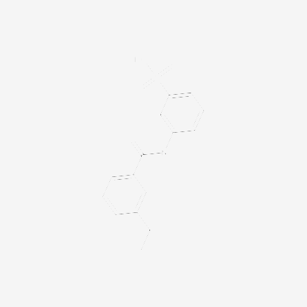 CCc1cccc(C(=O)Nc2cccc(S(=O)(=O)O)c2)c1